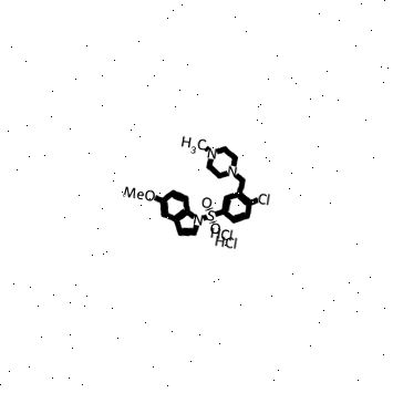 COc1ccc2c(ccn2S(=O)(=O)c2ccc(Cl)c(CN3CCN(C)CC3)c2)c1.Cl.Cl